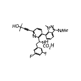 CNc1nn(C)c2c(-c3ccc(C#CC(C)(C)O)nc3C(Cc3cc(F)cc(F)c3)NC(=O)O)cccc12